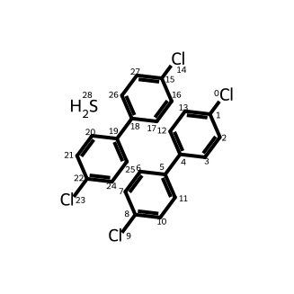 Clc1ccc(-c2ccc(Cl)cc2)cc1.Clc1ccc(-c2ccc(Cl)cc2)cc1.S